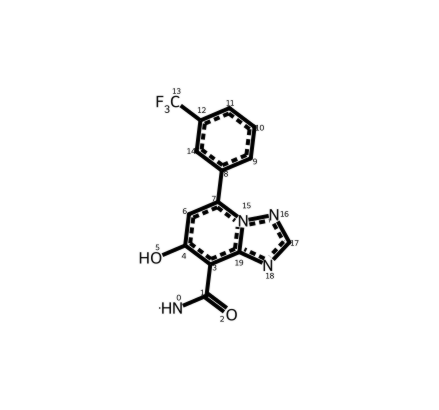 [NH]C(=O)c1c(O)cc(-c2cccc(C(F)(F)F)c2)n2ncnc12